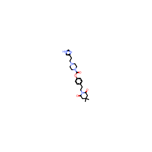 CC1(C)CC(=O)N(CCc2ccc(OC(=O)N3CCN(CCc4c[nH]cn4)CC3)cc2)C(=O)C1